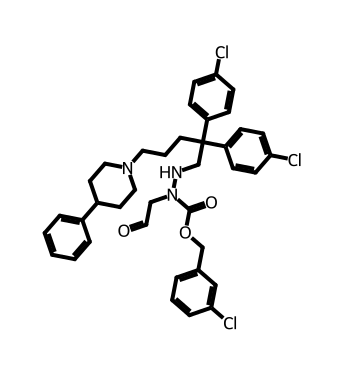 O=CCN(NCC(CCCN1CCC(c2ccccc2)CC1)(c1ccc(Cl)cc1)c1ccc(Cl)cc1)C(=O)OCc1cccc(Cl)c1